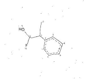 CC(c1ccccc1)C(O)F